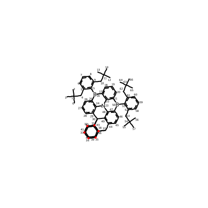 CC(C)(C)Cc1cccc(CC(C)(C)C)c1B1c2cccc3c2N2c4c1cccc4C14c5ccccc5C(c5ccccc51)c1ccc(c2c14)B3c1c(CC(C)(C)C)cccc1CC(C)(C)C